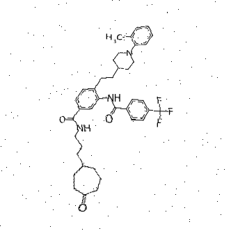 Cc1ccccc1N1CCC(CCc2ccc(C(=O)NCCCC3CCCC(=O)CC3)cc2NC(=O)c2ccc(C(F)(F)F)cc2)CC1